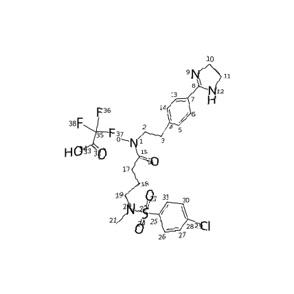 CN(CCc1ccc(C2=NCCN2)cc1)C(=O)CCCN(C)S(=O)(=O)c1ccc(Cl)cc1.O=C(O)C(F)(F)F